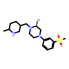 CC1CCC(CN2CCN(c3cccc(S(C)(=O)=O)c3)C[C@@H]2C(C)C)CN1